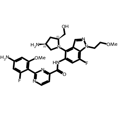 COCCn1ncc2c(N3C[C@@H](N)C[C@H]3CO)c(NC(=O)c3ccnc(-c4c(F)cc(N)cc4OC)n3)cc(F)c21